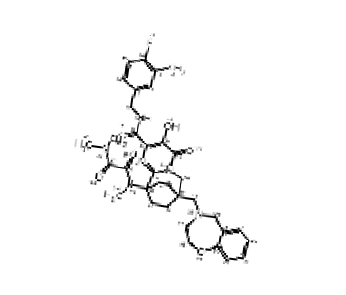 Cc1cc(CNC(=O)c2nc3n(c(=O)c2O)CC2(CN4CCOc5ccccc5C4)CCC3(N(C)C(=O)C(=O)N(C)C)CC2)ccc1F